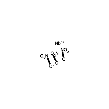 O=[N+]([O-])[O-].O=[N+]([O-])[O-].O=[N+]([O-])[O-].[Nb+3]